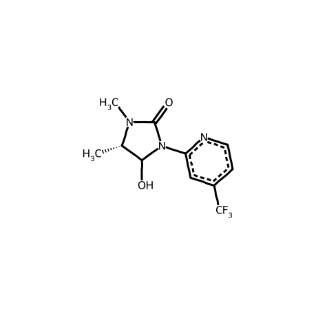 C[C@H]1C(O)N(c2cc(C(F)(F)F)ccn2)C(=O)N1C